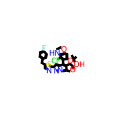 Cc1cn2nc(-c3ncc(Cc4ccc(F)cc4)s3)cc2c(-c2ccc3c(c2Cl)NCCO3)c1[C@H](OC(C)(C)C)C(=O)O